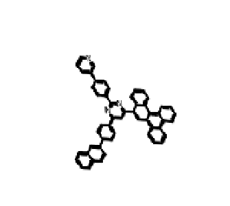 c1cncc(-c2ccc(-c3nc(-c4ccc(-c5ccc6ccccc6c5)cc4)cc(-c4cc5c6ccccc6c6ccccc6c5c5ccccc45)n3)cc2)c1